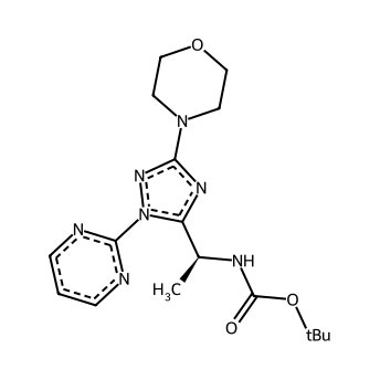 C[C@H](NC(=O)OC(C)(C)C)c1nc(N2CCOCC2)nn1-c1ncccn1